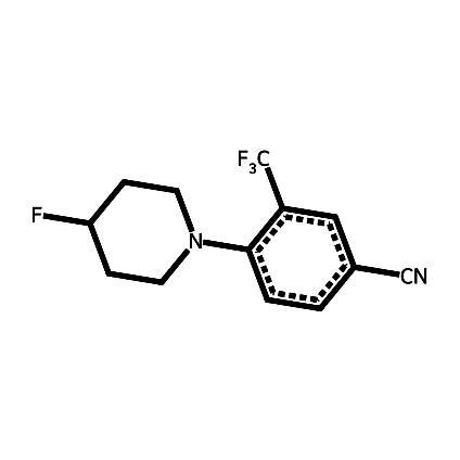 N#Cc1ccc(N2CCC(F)CC2)c(C(F)(F)F)c1